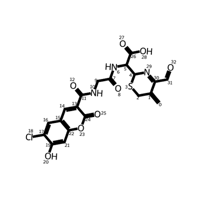 C=C1CSC(C(NC(=O)CNC(=O)c2cc3cc(Cl)c(O)cc3oc2=O)C(=O)O)N=C1C=O